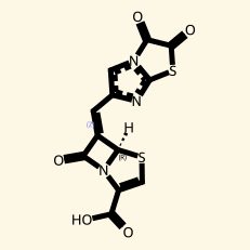 O=C(O)C1=CS[C@@H]2/C(=C\c3cn4c(n3)SC(=O)C4=O)C(=O)N12